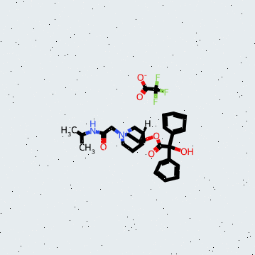 CC(C)NC(=O)C[N+]12CCC(CC1)[C@@H](OC(=O)C(O)(c1ccccc1)c1ccccc1)C2.O=C([O-])C(F)(F)F